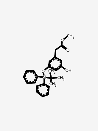 COC(=O)Cc1cc(O)cc(O[Si](c2ccccc2)(c2ccccc2)C(C)(C)C)c1